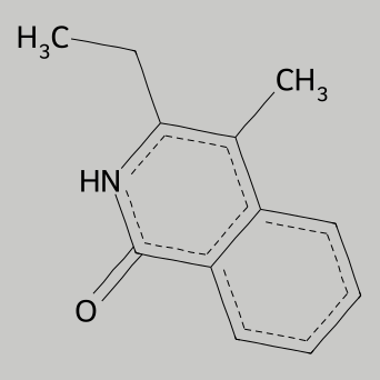 CCc1[nH]c(=O)c2ccccc2c1C